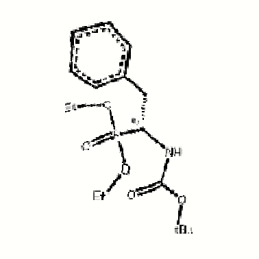 CCOP(=O)(OCC)[C@H](Cc1ccccc1)NC(=O)OC(C)(C)C